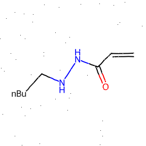 C=CC(=O)NNCCCCC